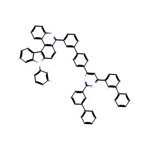 c1ccc(-c2cccc(-c3cc(-c4ccc(-c5cccc(-c6nc7ccccc7c7c6ccc6c7c7ccccc7n6-c6ccccc6)c5)cc4)nc(-c4cccc(-c5ccccc5)c4)n3)c2)cc1